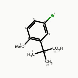 COc1ccc(Br)cc1C(C)(C)C(=O)O